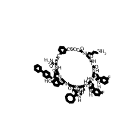 NCCCC[C@@H]1NC(=O)CCSCc2cccc(c2)CSC[C@@H](C(N)=O)NC(=O)[C@@H]2C[C@@H](Cc3ccc(-c4ccccc4)cc3)CN2C(=O)[C@H](Cc2ccc(O)cc2)NC(=O)[C@H](CC2NCNC2C2CCCCCCC2)NC(=O)[C@H](CC(=O)O)NC(=O)[C@H](Cc2c[nH]c3ccc(F)cc23)NC(=O)[C@H](Cc2c[nH]c3ccc(F)cc23)NC(=O)CNC1=O